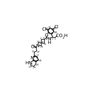 O=C(O)CC(NC(=O)C1CC2(C1)CN(C(=O)CCc1ccc3c(n1)NCCC3)C2)c1cc(Cl)cc(Cl)c1